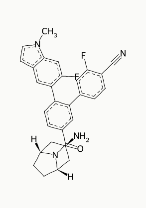 Cn1ccc2cc(-c3ccc(C(=O)N4[C@@H]5CC[C@H]4C[C@H](N)C5)cc3-c3ccc(C#N)c(F)c3)c(F)cc21